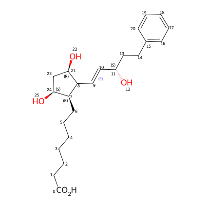 O=C(O)CCCCCC[C@@H]1C(/C=C/[C@@H](O)CCc2ccccc2)[C@H](O)C[C@@H]1O